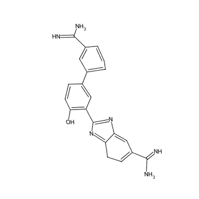 N=C(N)C1=CCC2=NC(c3cc(-c4cccc(C(=N)N)c4)ccc3O)=NC2=C1